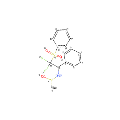 CC(C)(C)[S@+]([O-])NC(c1ccccc1)C(F)(F)S(=O)(=O)c1ccccc1